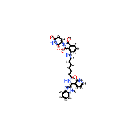 Cn1c(C(NC(=O)CCCCCCNc2cccc3c2C(=O)N(C2CCC(=O)NC2=O)C3=O)c2cccnc2)nc2ccccc21